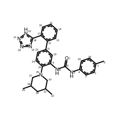 Cc1ccc(NC(=O)Nc2cc(-c3ccccc3-c3nnn[nH]3)ccc2N2CC(C)CC(C)C2)cc1